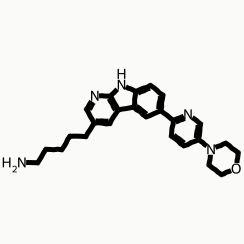 NCCCCCc1cnc2[nH]c3ccc(-c4ccc(N5CCOCC5)cn4)cc3c2c1